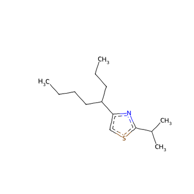 CCCCC(CCC)c1csc(C(C)C)n1